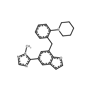 Cn1ncnc1-c1cc(Cc2ccccc2N2C[CH]CCC2)c2occc2c1